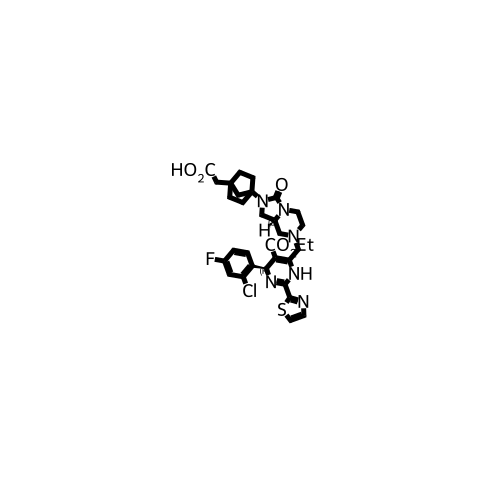 CCOC(=O)C1=C(CN2CCN3C(=O)N(C45CCC(CC(=O)O)(CC4)C5)C[C@@H]3C2)NC(c2nccs2)=N[C@H]1c1ccc(F)cc1Cl